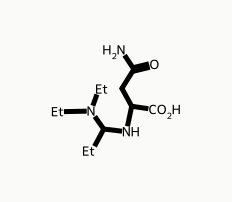 CCC(NC(CC(N)=O)C(=O)O)N(CC)CC